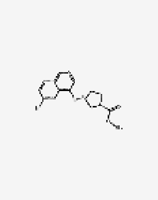 CC(C)(C)OC(=O)N1CC[C@H](Oc2cncc3ccc(Br)cc23)C1